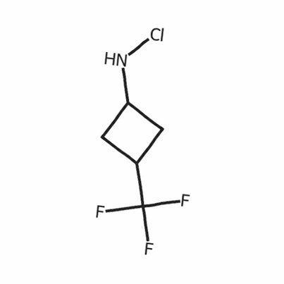 FC(F)(F)C1CC(NCl)C1